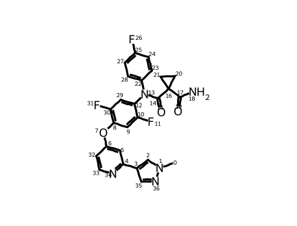 Cn1cc(-c2cc(Oc3cc(F)c(N(C(=O)C4(C(N)=O)CC4)c4ccc(F)cc4)cc3F)ccn2)cn1